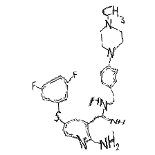 CN1CCN(c2ccc(CNC(=N)c3cc(Sc4cc(F)cc(F)c4)cnc3N)cc2)CC1